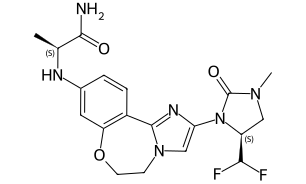 C[C@H](Nc1ccc2c(c1)OCCn1cc(N3C(=O)N(C)C[C@H]3C(F)F)nc1-2)C(N)=O